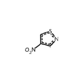 O=[N+]([O-])c1[c]nsc1